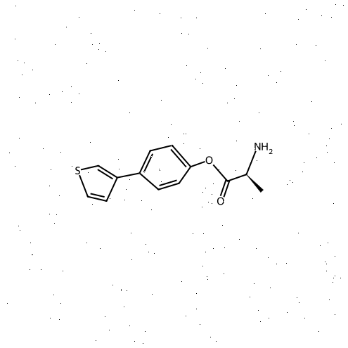 C[C@H](N)C(=O)Oc1ccc(-c2ccsc2)cc1